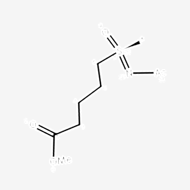 COC(=O)CCCC[S@](C)(=O)=NC(C)=O